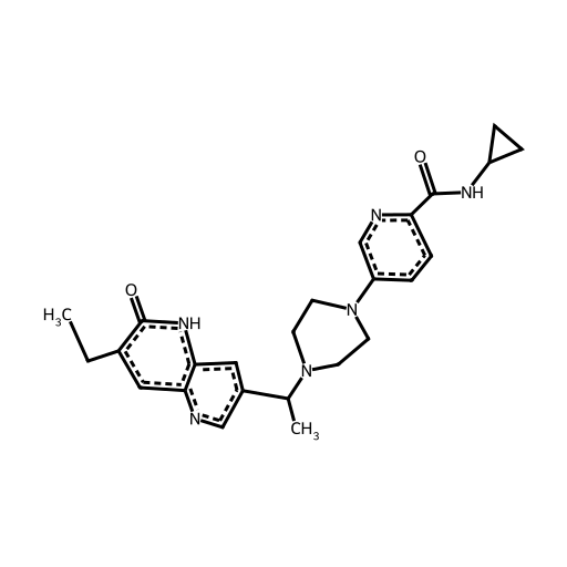 CCc1cc2ncc(C(C)N3CCN(c4ccc(C(=O)NC5CC5)nc4)CC3)cc2[nH]c1=O